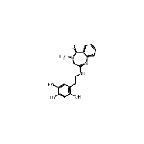 CN1CC(NCCc2cc(O)c(O)cc2O)=Nc2ccccc2C1=O